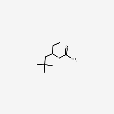 CC(C)(C)CC(CI)OC(N)=O